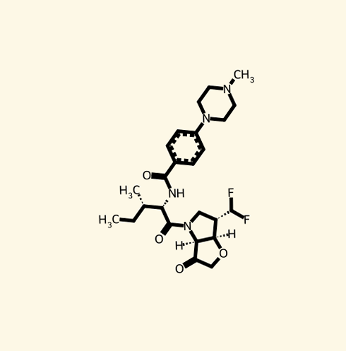 CC[C@H](C)[C@H](NC(=O)c1ccc(N2CCN(C)CC2)cc1)C(=O)N1C[C@H](C(F)F)[C@H]2OCC(=O)[C@H]21